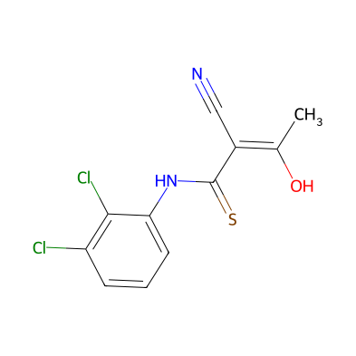 C/C(O)=C(\C#N)C(=S)Nc1cccc(Cl)c1Cl